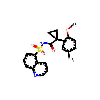 CCOc1ccc(C)cc1C1(C(=O)NS(=O)(=O)c2cccc3ncccc23)CC1